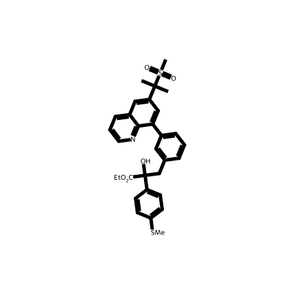 CCOC(=O)C(O)(Cc1cccc(-c2cc(C(C)(C)S(C)(=O)=O)cc3cccnc23)c1)c1ccc(SC)cc1